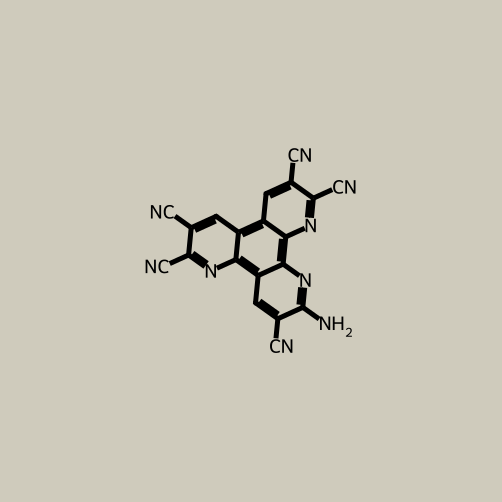 N#Cc1cc2c3nc(C#N)c(C#N)cc3c3cc(C#N)c(C#N)nc3c2nc1N